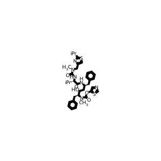 CC(C)c1nc(CN(C)C(=O)N[C@H](C(=O)N[C@@H](Cc2ccccc2)C[C@H](O)[C@H](Cc2ccccc2)N(C)C(=O)Oc2cncs2)C(C)C)cs1